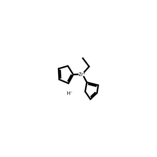 C[CH2][Zr+]([C]1=CC=CC1)[C]1=CC=CC1.[H-]